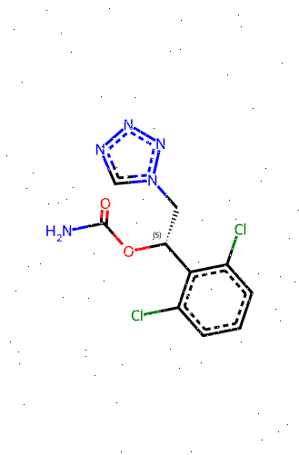 NC(=O)O[C@H](Cn1cnnn1)c1c(Cl)cccc1Cl